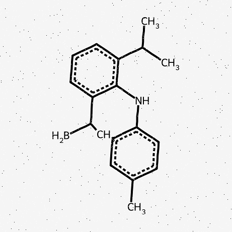 BC(C)c1cccc(C(C)C)c1Nc1ccc(C)cc1